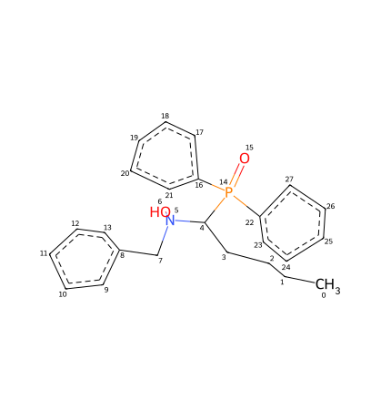 CCCCC(N(O)Cc1ccccc1)P(=O)(c1ccccc1)c1ccccc1